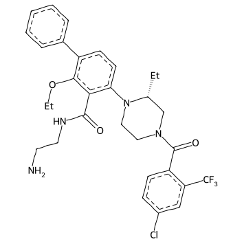 CCOc1c(-c2ccccc2)ccc(N2CCN(C(=O)c3ccc(Cl)cc3C(F)(F)F)C[C@H]2CC)c1C(=O)NCCN